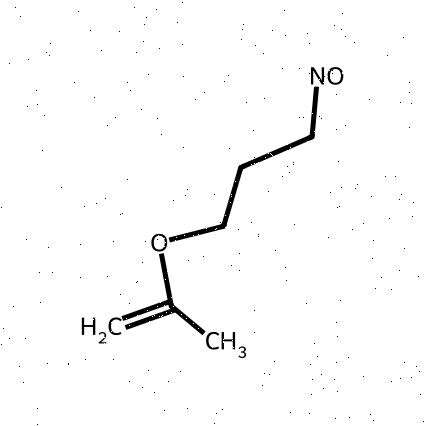 C=C(C)OCCCN=O